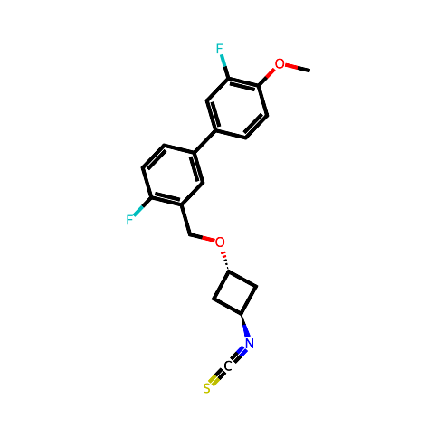 COc1ccc(-c2ccc(F)c(CO[C@H]3C[C@H](N=C=S)C3)c2)cc1F